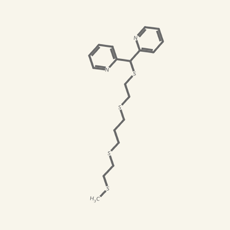 CSCCSCCCSCCSC(c1ccccn1)c1ccccn1